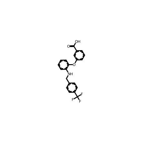 O=C(O)c1cccc(Oc2ccccc2NCc2ccc(C(F)(F)F)cc2)c1